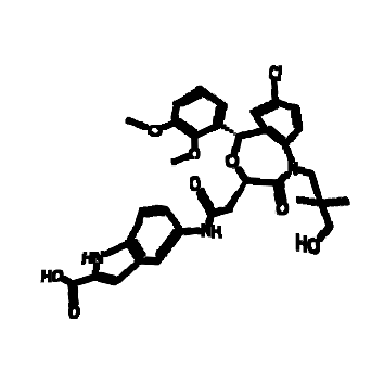 COc1cccc([C@H]2O[C@H](CC(=O)Nc3ccc4[nH]c(C(=O)O)cc4c3)C(=O)N(CC(C)(C)CO)c3ccc(Cl)cc32)c1OC